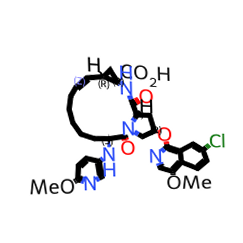 COc1ccc(N[C@H]2CCCCC/C=C\[C@H]3C[C@@]3(C(=O)O)NC(=O)[C@@H]3C[C@@H](Oc4ncc(OC)c5ccc(Cl)cc45)CN3C2=O)cn1